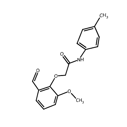 COc1cccc(C=O)c1OCC(=O)Nc1ccc(C)cc1